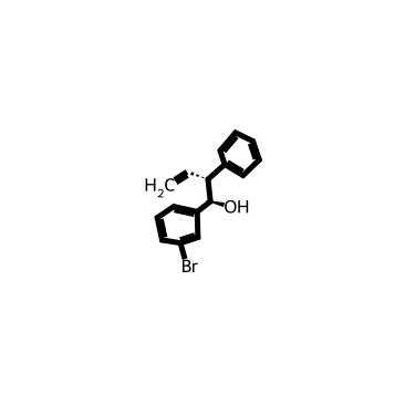 C=C[C@H](c1ccccc1)[C@@H](O)c1cccc(Br)c1